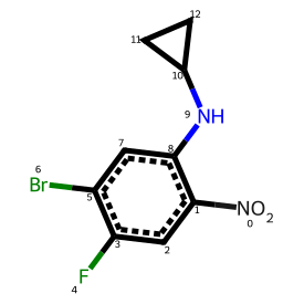 O=[N+]([O-])c1cc(F)c(Br)cc1NC1CC1